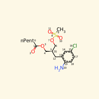 CCCCCC(=O)OC[C@@H](COS(C)(=O)=O)Cc1cc(Cl)ccc1N